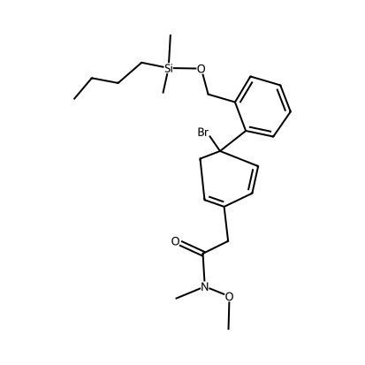 CCCC[Si](C)(C)OCc1ccccc1C1(Br)C=CC(CC(=O)N(C)OC)=CC1